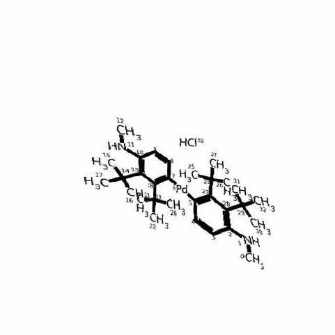 CNc1cc[c]([Pd][c]2ccc(NC)c(C(C)(C)C)c2C(C)(C)C)c(C(C)(C)C)c1C(C)(C)C.Cl